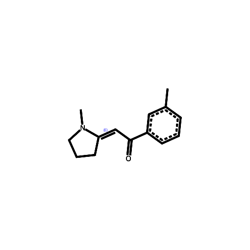 Cc1cccc(C(=O)/C=C2\CCCN2C)c1